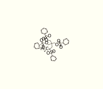 C=C(CC(COS(=O)(=O)c1ccccc1)(COS(=O)(=O)c1ccccc1)COS(=O)(=O)c1ccccc1)S(=O)(=O)c1ccccc1